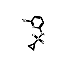 N#Cc1cccc(NS(=O)(=O)C2CC2)n1